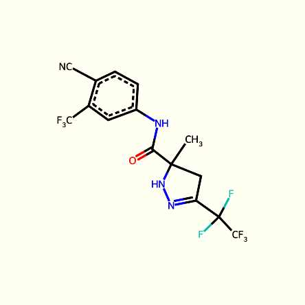 CC1(C(=O)Nc2ccc(C#N)c(C(F)(F)F)c2)CC(C(F)(F)C(F)(F)F)=NN1